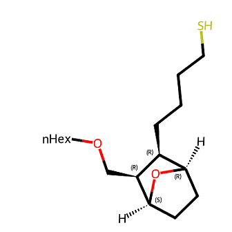 CCCCCCOC[C@H]1[C@@H](CCCCS)[C@H]2CC[C@@H]1O2